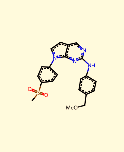 COCc1ccc(Nc2ncc3ccn(-c4ccc(S(C)(=O)=O)cc4)c3n2)cc1